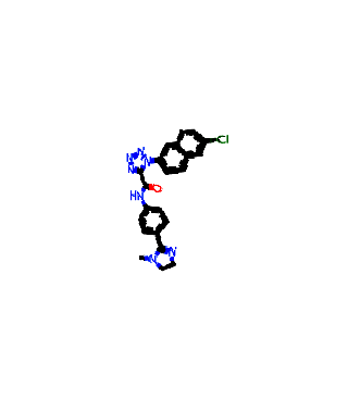 CN1CCN=C1c1ccc(NC(=O)c2nnnn2-c2ccc3cc(Cl)ccc3c2)cc1